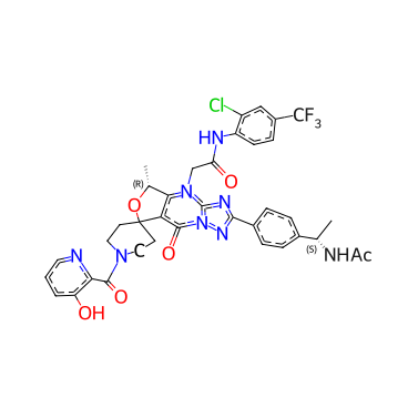 CC(=O)N[C@@H](C)c1ccc(-c2nc3n(CC(=O)Nc4ccc(C(F)(F)F)cc4Cl)c4c(c(=O)n3n2)C2(CCN(C(=O)c3ncccc3O)CC2)O[C@@H]4C)cc1